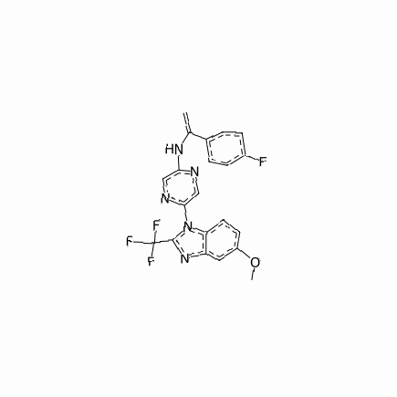 C=C(Nc1cnc(-n2c(C(F)(F)F)nc3cc(OC)ccc32)cn1)c1ccc(F)cc1